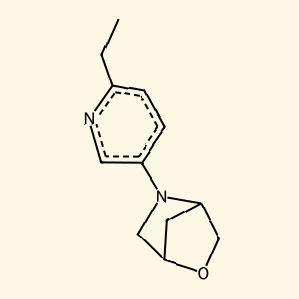 CCc1ccc(N2CC3CC2CO3)cn1